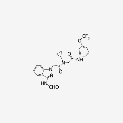 O=CNc1nn(CC(=O)N(CC(=O)Nc2cccc(OC(F)(F)F)c2)C2CC2)c2ccccc12